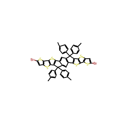 Cc1ccc(C2(c3ccc(C)cc3)c3cc4c(cc3-c3sc5c(sc6cc(Br)sc65)c32)C(c2ccc(C)cc2)(c2ccc(C)cc2)c2c-4sc3c2sc2cc(Br)sc23)cc1